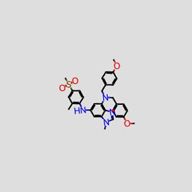 COc1ccc(CN(Cc2ccc(OC)cc2)c2cc(Nc3ccc(S(C)(=O)=O)cc3C)cc3c2ncn3C)cc1